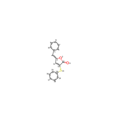 O=C1O/C(=C\c2ccccc2)C=C1Sc1ccccc1